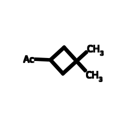 CC(=O)C1CC(C)(C)C1